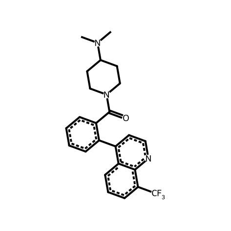 CN(C)C1CCN(C(=O)c2ccccc2-c2ccnc3c(C(F)(F)F)cccc23)CC1